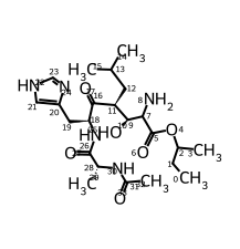 CCC(C)OC(=O)C(N)[C@@H](O)[C@H](CC(C)C)C(=O)[C@H](Cc1c[nH]cn1)NC(=O)[C@@H](C)NC(C)=O